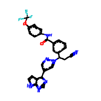 N#CCC(c1cccc(C(=O)Nc2ccc(OC(F)(F)F)cc2)c1)n1cc(-c2ncnc3[nH]ccc23)cn1